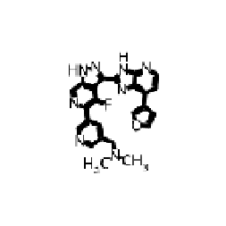 CN(C)Cc1cncc(-c2ncc3[nH]nc(-c4nc5c(-c6ccoc6)ccnc5[nH]4)c3c2F)c1